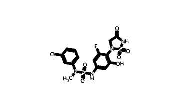 CN(c1cccc(Cl)c1)S(=O)(=O)Nc1cc(O)c(N2CC(=O)NS2(=O)=O)c(F)c1